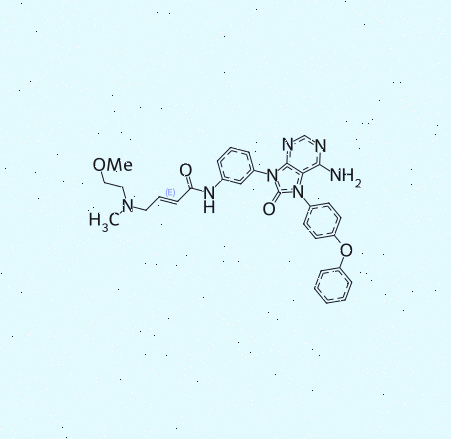 COCCN(C)C/C=C/C(=O)Nc1cccc(-n2c(=O)n(-c3ccc(Oc4ccccc4)cc3)c3c(N)ncnc32)c1